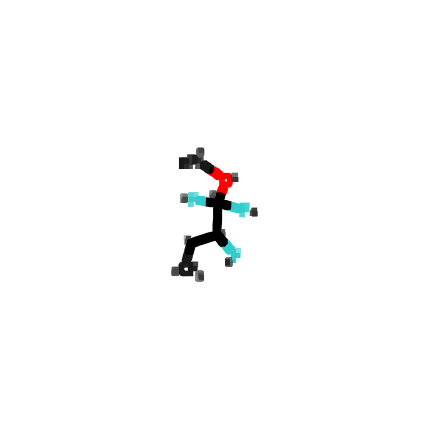 CCCOC(F)(F)C(F)CC(F)(F)F